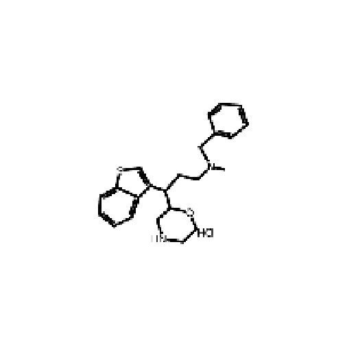 CN(CCC(c1csc2ccccc12)C1CNCCO1)Cc1ccccc1.Cl